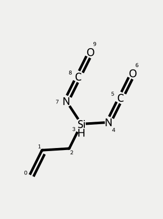 C=CC[SiH](N=C=O)N=C=O